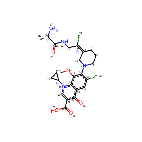 COc1c(N2CCC/C(=C(\F)CNC(=O)[C@H](C)N)C2)c(F)cc2c(=O)c(C(=O)O)cn(C3CC3)c12